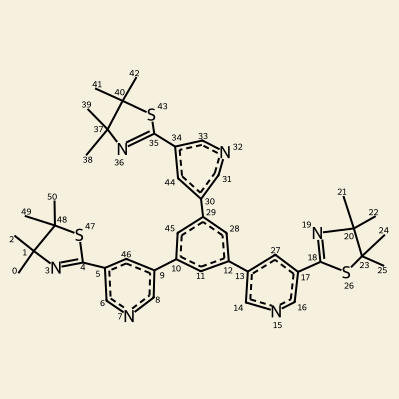 CC1(C)N=C(c2cncc(-c3cc(-c4cncc(C5=NC(C)(C)C(C)(C)S5)c4)cc(-c4cncc(C5=NC(C)(C)C(C)(C)S5)c4)c3)c2)SC1(C)C